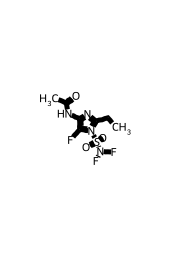 CCc1nc(NC(C)=O)c(F)n1S(=O)(=O)N(F)F